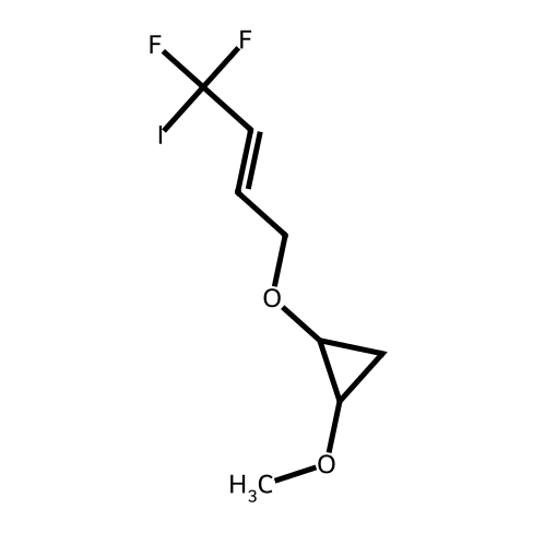 COC1CC1OC/C=C/C(F)(F)I